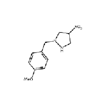 COc1ccc(CN2CC([N+](=O)[O-])CN2)cc1